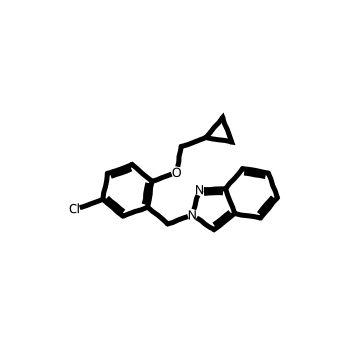 Clc1ccc(OCC2CC2)c(Cn2cc3ccccc3n2)c1